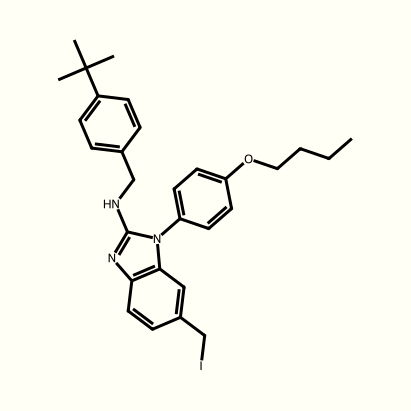 CCCCOc1ccc(-n2c(NCc3ccc(C(C)(C)C)cc3)nc3ccc(CI)cc32)cc1